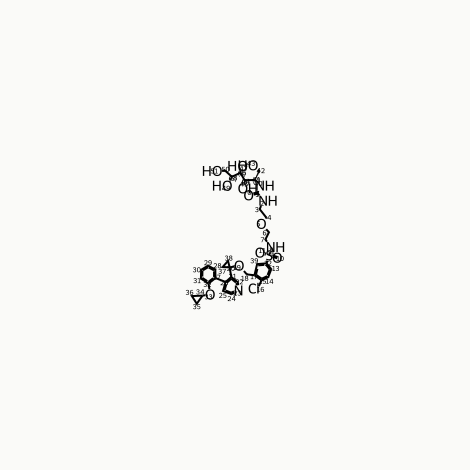 O=C(NCCOCCNS(=O)(=O)c1ccc(Cl)c(COC2(c3cnccc3-c3ccccc3OC3CC3)CC2)c1)N[C@H](CO)[C@H](O)[C@@H](O)[C@@H](O)CO